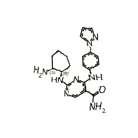 NC(=O)c1cnc(N[C@@H]2CCCC[C@@H]2N)nc1Nc1ccc(-n2cccn2)cc1